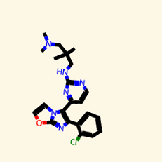 CN(C)CC(C)(C)CNc1nccc(-c2c(-c3ccccc3Cl)nc3occn23)n1